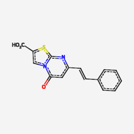 O=C(O)c1cn2c(=O)cc(/C=C/c3ccccc3)nc2s1